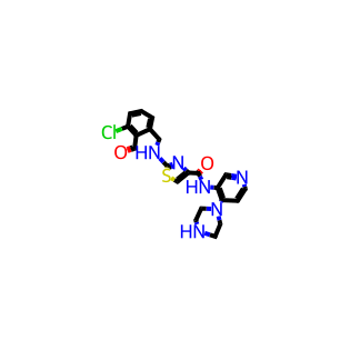 O=Cc1c(Cl)cccc1CNc1nc(C(=O)Nc2cnccc2N2CCNCC2)cs1